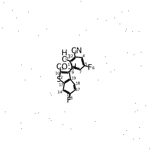 Cc1c(C#N)cc(F)cc1-c1c(C(=O)O)sc2cc(F)ccc12